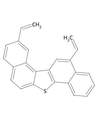 C=Cc1ccc2ccc3sc4c5ccccc5c(C=C)cc4c3c2c1